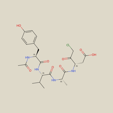 CC(=O)N[C@@H](Cc1ccc(O)cc1)C(=O)N[C@H](C(=O)N[C@@H](C)C(=O)N[C@@H](CC(=O)O)C(=O)CCl)C(C)C